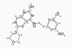 O=[N+]([O-])c1cc(CCNc2nc(O)nc3cnc(C4=CCOCC4)cc23)cc(C(F)(F)F)c1